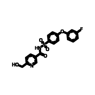 O=C(NS(=O)(=O)c1ccc(Oc2cccc(F)c2)cc1)c1ccc(CO)nc1